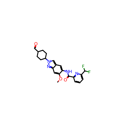 COc1cc2nn(C3CCC(C=O)CC3)cc2cc1NC(=O)c1cccc(C(F)F)n1